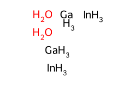 O.O.[GaH3].[GaH3].[InH3].[InH3]